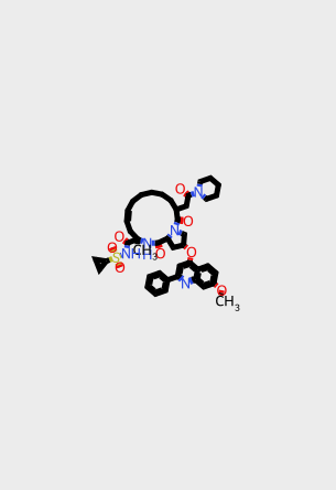 COc1ccc2c(OC3CC4C(=O)NC(C)(C(=O)NS(=O)(=O)C5CC5)CC=CCCCCCC(CC(=O)N5CCCCC5)C(=O)N4C3)cc(-c3ccccc3)nc2c1